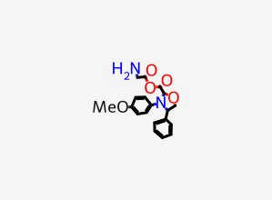 COc1ccc(N2C(C(=O)OC(=O)CN)OCC2c2ccccc2)cc1